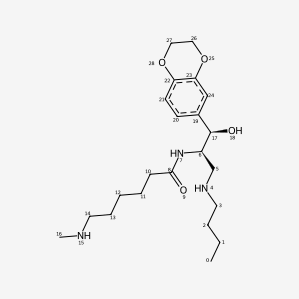 CCCCNC[C@@H](NC(=O)CCCCCNC)[C@H](O)c1ccc2c(c1)OCCO2